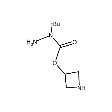 CC(C)(C)N(N)C(=O)OC1CNC1